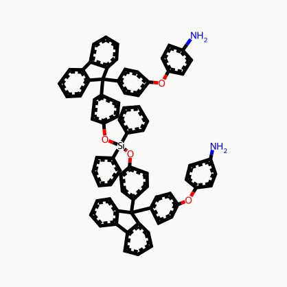 Nc1ccc(Oc2ccc(C3(c4ccc(O[Si](Oc5ccc(C6(c7ccc(Oc8ccc(N)cc8)cc7)c7ccccc7-c7ccccc76)cc5)(c5ccccc5)c5ccccc5)cc4)c4ccccc4-c4ccccc43)cc2)cc1